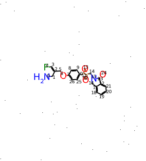 NC/C(=C\F)COc1ccc(S(=O)(=O)CN2Cc3ccccc3C2=O)cc1